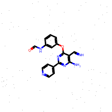 N=Cc1c(N)nc(-c2ccncc2)nc1Oc1cccc(NC=O)c1